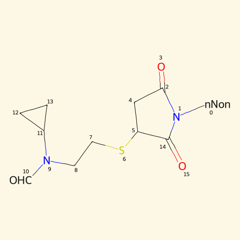 CCCCCCCCCN1C(=O)CC(SCCN(C=O)C2CC2)C1=O